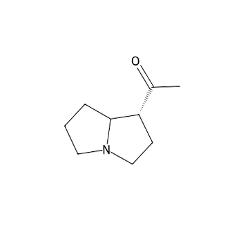 CC(=O)[C@@H]1CCN2CCCC12